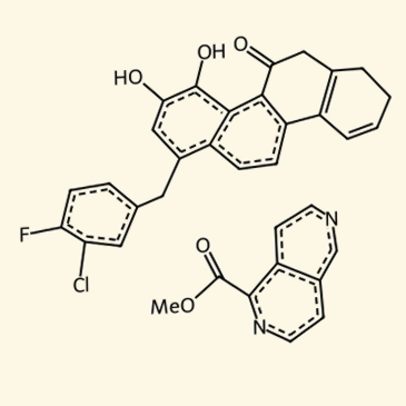 COC(=O)c1nccc2cnccc12.O=C1CC2=C(C=CCC2)c2ccc3c(Cc4ccc(F)c(Cl)c4)cc(O)c(O)c3c21